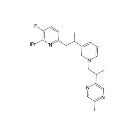 Cc1cnc(C(C)CN2C=CC=C(C(C)Cc3ccc(F)c(C(C)C)n3)C2)cn1